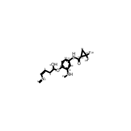 C=N/C=C\CC(O)Oc1ccc(NC(=O)C2CC2(F)F)cc1NC